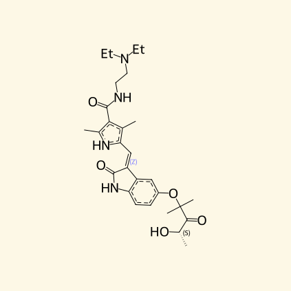 CCN(CC)CCNC(=O)c1c(C)[nH]c(/C=C2\C(=O)Nc3ccc(OC(C)(C)C(=O)[C@H](C)O)cc32)c1C